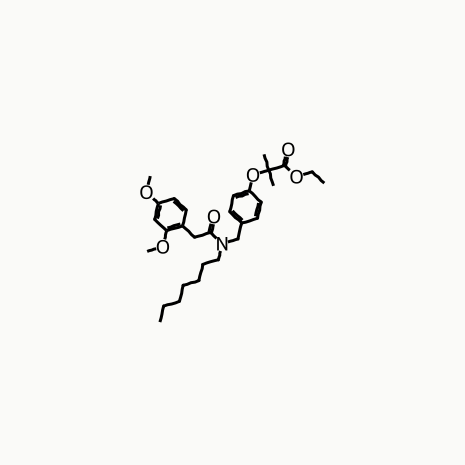 CCCCCCCN(Cc1ccc(OC(C)(C)C(=O)OCC)cc1)C(=O)Cc1ccc(OC)cc1OC